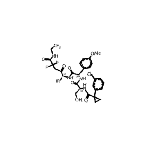 COc1ccc([C@H](NC(=O)[C@H](CO)NC(=O)C2(c3cccc(Cl)c3)CC2)C(=O)N[C@H](C(=O)CC(F)(F)C(=O)NCC(F)(F)F)C(C)C)cc1